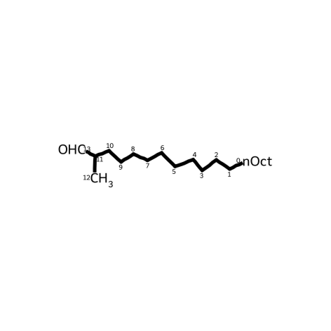 CCCCCCCCCCCCCCCCCCC(C)C=O